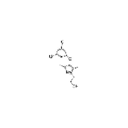 Cc1nn(CCO)c(C)c1Oc1cc(Cl)cc(Cl)c1